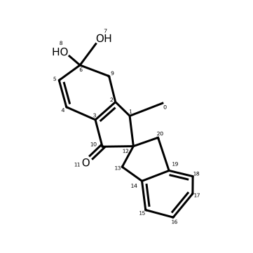 CC1C2=C(C=CC(O)(O)C2)C(=O)C12Cc1ccccc1C2